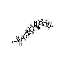 C=CC(=O)NC1C2CN(S(=O)(=O)c3ccc(NC(=O)c4ccc(CN5CCCC5)o4)cc3)CC21